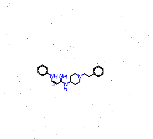 N=C(/C=C\Nc1ccccc1)NC1CCN(CCc2ccccc2)CC1